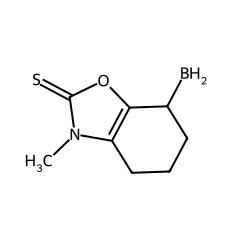 BC1CCCc2c1oc(=S)n2C